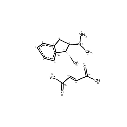 CN(N)[C@@H]1Cc2ccccc2[C@H]1O.O=C(O)/C=C/C(=O)O